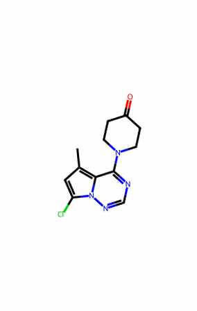 Cc1cc(Cl)n2ncnc(N3CCC(=O)CC3)c12